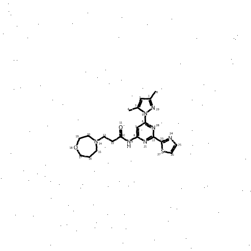 Cc1cc(C)n(-c2cc(NC(=O)CCN3CCCOCC3)nc(-c3nccs3)n2)n1